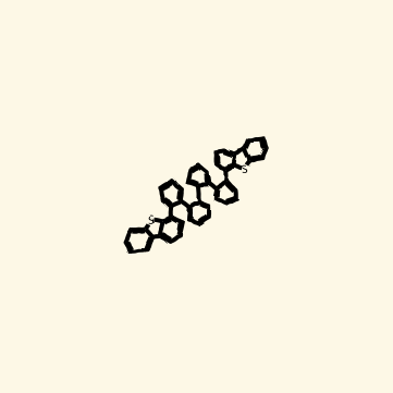 c1ccc(-c2ccccc2-c2cccc3c2sc2ccccc23)c(-c2ccccc2-c2ccccc2-c2cccc3c2sc2ccccc23)c1